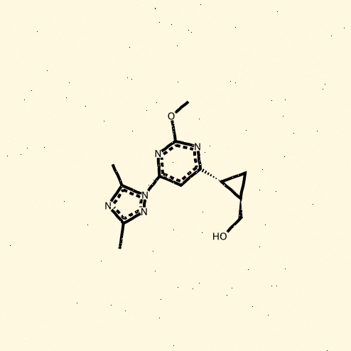 COc1nc([C@@H]2C[C@H]2CO)cc(-n2nc(C)nc2C)n1